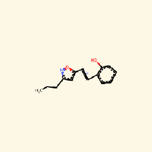 CCCc1cc(/C=C/c2ccccc2O)on1